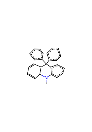 CN1c2ccccc2C(c2ccccc2)(c2ccccc2)C2C=CC=CC21